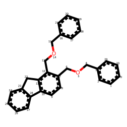 c1ccc(COCc2ccc3c(c2COCc2ccccc2)Cc2ccccc2-3)cc1